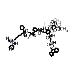 COC(=O)[C@H]1O[C@@H](Oc2ccc(COC(=O)Nc3cccc(C(=O)N(C)CCON(C(=O)CCCCCCN/C(=N\C#N)Nc4ccncc4)C4CCCCC4)c3)cc2NC(=O)CCNC(=O)OCC2c3ccccc3-c3ccccc32)[C@H](C)[C@@H](C)[C@@H]1OC(C)=O